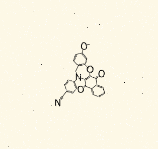 COc1ccc2c(c1)OC1=C(C(=O)c3ccccc3C1=O)N(c1ccc(C#N)cc1)C2